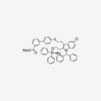 COC(=O)c1cccc(-c2ccc(SCCc3c(CCO[Si](c4ccccc4)(c4ccccc4)C(C)(C)C)n(C(c4ccccc4)c4ccccc4)c4ccc(Cl)cc34)cc2)c1